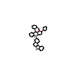 c1ccc(-c2ccc(N(c3ccc4c(ccc5sc6ccccc6c54)c3)c3ccccc3-c3cccc4ccccc34)cc2)cc1